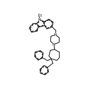 CCn1c2ccccc2c2cc(CN3CCN(C4CCCC(Cc5ccccc5)(Cc5ccccc5)CC4)CC3)ccc21